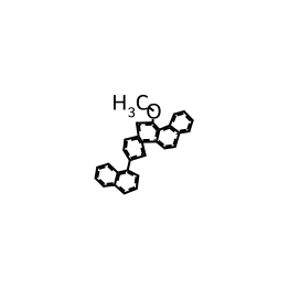 COc1cc2ccc(-c3cccc4ccccc34)cc2c2ccc3ccccc3c12